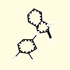 O=c1[nH]c2c[c]ccc2n1-c1ccc(F)c(F)c1